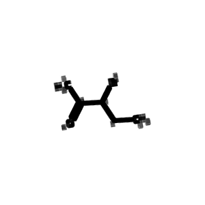 CCC(Br)C(C)=O